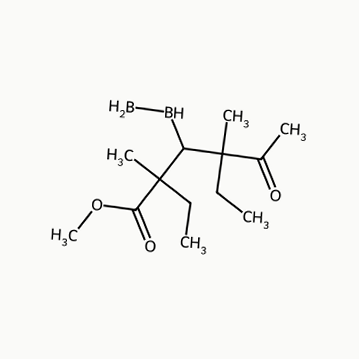 BBC(C(C)(CC)C(C)=O)C(C)(CC)C(=O)OC